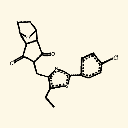 CCc1sc(-c2ccc(Cl)cc2)nc1CC1C(=O)C2C3CCC(O3)C2C1=O